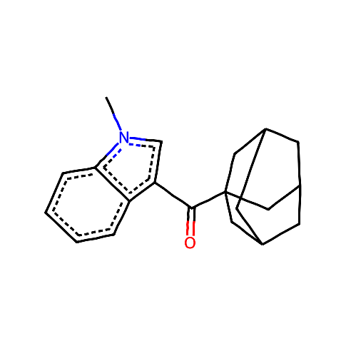 Cn1cc(C(=O)C23CC4CC(CC(C4)C2)C3)c2ccccc21